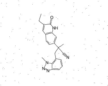 CCc1cc2ccc(C(C)(C#N)Cc3cccc4nnn(C)c34)cc2[nH]c1=O